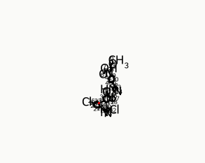 COCCN(C(=O)O)c1ccc(-c2cnc([C@@H]3CCc4cc(-c5cc(Cl)ccc5-n5cc(Cl)nn5)cc(=O)n43)[nH]2)cc1